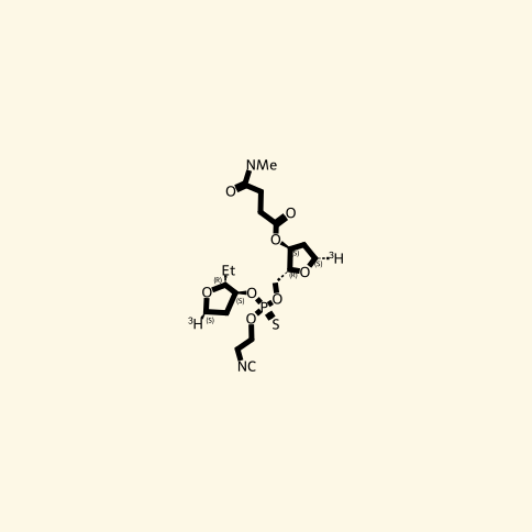 [3H][C@H]1C[C@H](OC(=O)CCC(=O)NC)[C@@H](COP(=S)(OCC[N+]#[C-])O[C@H]2C[C@H]([3H])O[C@@H]2CC)O1